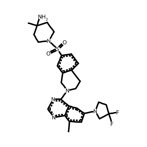 Cc1cc(N2CCC(F)(F)C2)cc2c(N3CCc4ccc(S(=O)(=O)N5CCC(C)(N)CC5)cc4C3)ncnc12